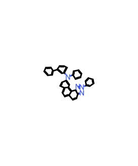 c1ccc(-c2cccc(N(c3ccccc3)c3ccc4ccc5ccc6nn(-c7ccccc7)nc6c5c4c3)c2)cc1